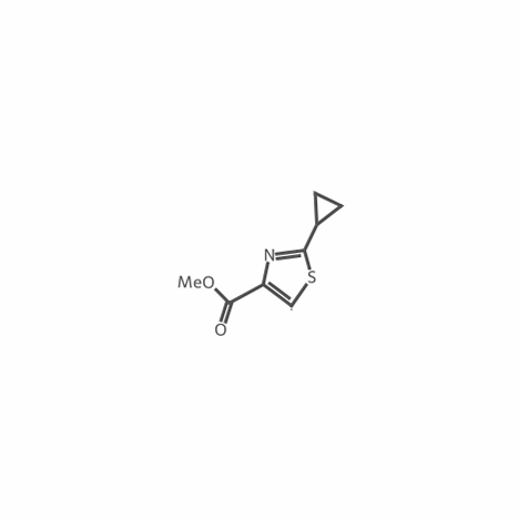 COC(=O)c1[c]sc(C2CC2)n1